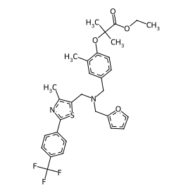 CCOC(=O)C(C)(C)Oc1ccc(CN(Cc2ccco2)Cc2sc(-c3ccc(C(F)(F)F)cc3)nc2C)cc1C